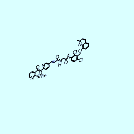 CSc1ncccc1C(=O)Nc1ccc(/C=C/C(=O)NCC(=O)N(C)c2ccc(Cl)c(COc3cccc4ccc(C)nc34)c2Cl)cn1